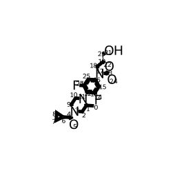 CC1CN(C(=O)C2CC2)CCN1c1c(F)cc(N2C[C@H](CO)OC2=O)cc1F